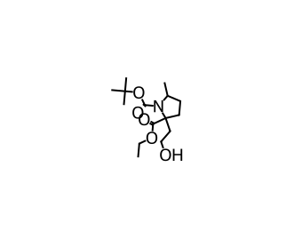 CCOC(=O)C1(CCO)CCC(C)N1C(=O)OC(C)(C)C